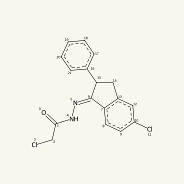 O=C(CCl)NN=C1c2ccc(Cl)cc2CC1c1ccccc1